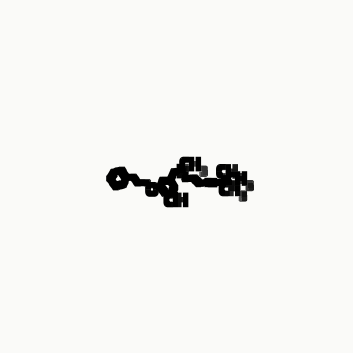 CN(CC=CC#CC(C)(C)C)Cc1cccc(OCCCc2ccccc2)c1.Cl